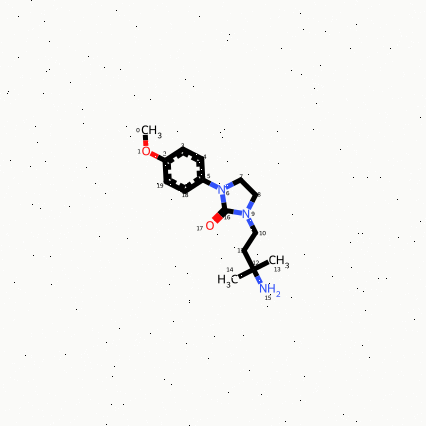 COc1ccc(N2CCN(CCC(C)(C)N)C2=O)cc1